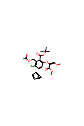 COC=C(Oc1ccc(F)c(COC(C)=O)c1C(=O)OC(C)(C)C)C(=O)OC.c1cc2cc-2c1